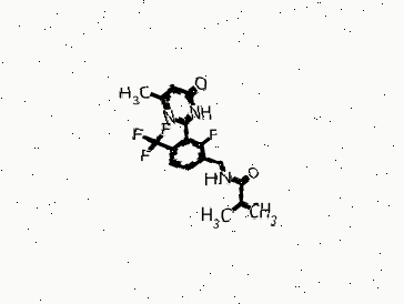 Cc1cc(=O)[nH]c(-c2c(C(F)(F)F)ccc(CNC(=O)C(C)C)c2F)n1